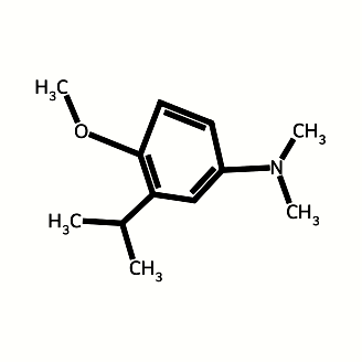 COc1ccc(N(C)C)cc1C(C)C